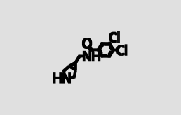 O=C(NCC1C2CNCC21)c1ccc(Cl)c(Cl)c1